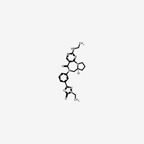 CCNc1ncc2c(n1)N1CCC[C@H]1CN(c1cccc(-c3nn(CC)c(=O)o3)c1)C2=O